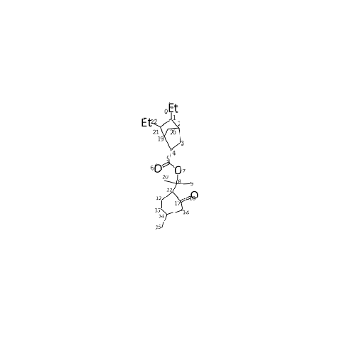 CCC1C2CC(C(=O)OC(C)(C)C3CCC(C)CC3=O)C(C2)C1CC